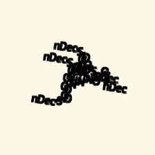 CCCCCCCCCCCCSCC(C)C(=O)OCCOC(=O)CCN(CCCNCCCN(CCC(=O)OCCOC(=O)C(C)CSCCCCCCCCCCCC)CCC(=O)OCCOC(=O)C(C)CSCCCCCCCCCCCC)CCCN(CCC(=O)OCCOC(=O)C(C)CSCCCCCCCCCCCC)CCC(=O)OCCOC(=O)C(C)CSCCCCCCCCCCCC